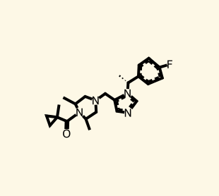 CC1CN(Cc2cncn2[C@H](C)c2ccc(F)cc2)CC(C)N1C(=O)C1(C)CC1